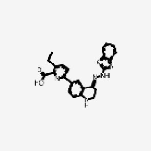 CCc1ccc(-c2ccc3c(c2)/C(=N/Nc2nc4ccccc4s2)CCN3)nc1C(=O)O